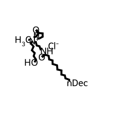 CCCCCCCCCCCCCCCCCCCCCC(=O)NCCCC[N+](C)(CCCCCCO)CN1CCCC1=O.[Cl-]